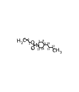 C=CCOC(=O)N1CCC(CCCC)CC1